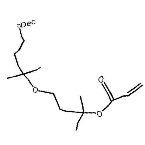 C=CC(=O)OC(C)(C)CCOC(C)(C)CCCCCCCCCCCC